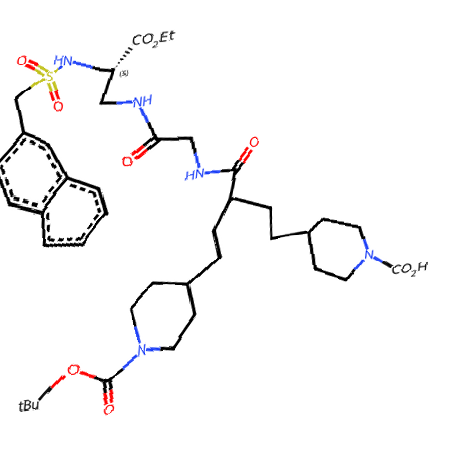 CCOC(=O)[C@H](CNC(=O)CNC(=O)C(CCC1CCN(C(=O)O)CC1)CCC1CCN(C(=O)OC(C)(C)C)CC1)NS(=O)(=O)Cc1ccc2ccccc2c1